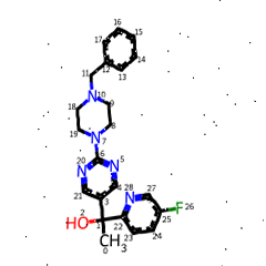 CC(O)(c1cnc(N2CCN(Cc3ccccc3)CC2)nc1)c1ccc(F)cn1